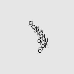 C[C@@H]1Cc2nc(NC(=O)NCC3(O)CCOCC3)sc2[C@H](C)N1c1nc2cc(Cl)ccc2o1